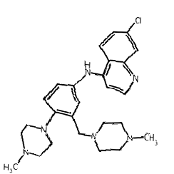 CN1CCN(Cc2cc(Nc3ccnc4cc(Cl)ccc34)ccc2N2CCN(C)CC2)CC1